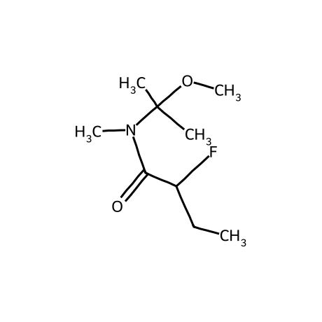 CCC(F)C(=O)N(C)C(C)(C)OC